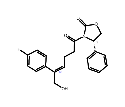 O=C(CC/C=C(/CO)c1ccc(F)cc1)N1C(=O)OC[C@@H]1c1ccccc1